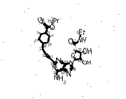 CCNC(=O)[C@H]1O[C@@H](n2cnc3c(N)nc(C#CCC4CCC(C(=O)OC(C)C)CC4)nc32)C(O)[C@H]1O